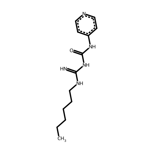 CCCCCCNC(=N)NC(=O)Nc1ccncc1